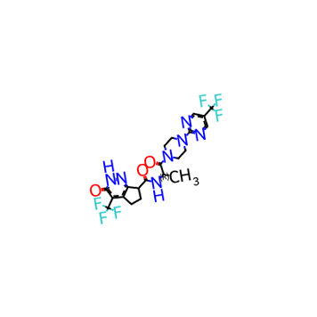 C[C@@H](NC(=O)C1CCc2c1n[nH]c(=O)c2C(F)(F)F)C(=O)N1CCN(c2ncc(C(F)(F)F)cn2)CC1